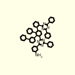 Nc1cccc(-c2nc(-c3ccccc3)nc(-c3ccc(-c4ccccc4-c4nc(-c5ccccc5)nc(-c5ccccc5)n4)c(-c4ccccc4)c3-c3cccc(-c4ccccc4)c3)n2)c1